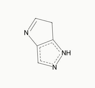 C1=Nc2cn[nH]c2C1